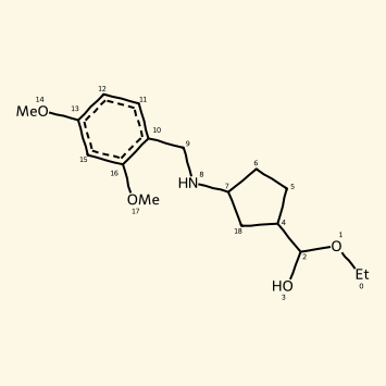 CCOC(O)C1CCC(NCc2ccc(OC)cc2OC)C1